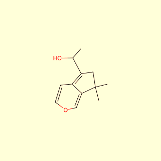 CC(O)C1=C2C=COC=C2C(C)(C)C1